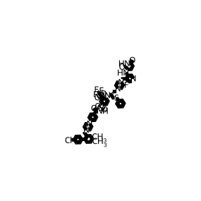 CC1(C)CCC(c2ccc(Cl)cc2)=C(CN2CCN(c3ccc(C(=O)NS(=O)(=O)c4ccc(N[C@H](CCN5CCN(Cc6c(F)cncc6NC6CCC(=O)NC6=O)CC5)CSc5ccccc5)c(S(=O)(=O)C(F)(F)F)c4)cc3)CC2)C1